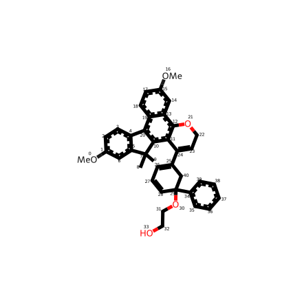 COc1ccc2c(c1)C(C)(C)c1c3c(c4cc(OC)ccc4c1-2)OCC=C3C1=CC=CC(OCCO)(c2ccccc2)C1